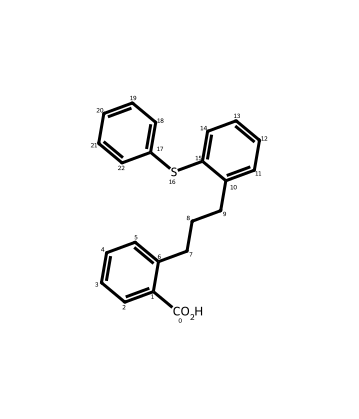 O=C(O)c1ccccc1CCCc1ccccc1Sc1ccccc1